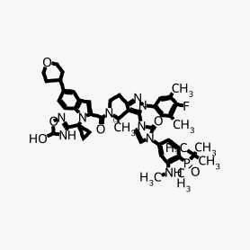 CNc1cc(-n2ccn(-c3c4c(nn3-c3cc(C)c(F)c(C)c3)CCN(C(=O)c3cc5cc(C6CCOCC6)ccc5n3C3(C5=NOC(O)N5)CC3)[C@H]4C)c2=O)ccc1P(C)(=O)C(C)(C)C